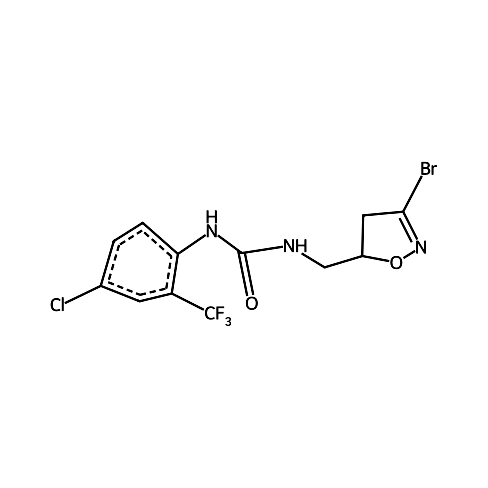 O=C(NCC1CC(Br)=NO1)Nc1ccc(Cl)cc1C(F)(F)F